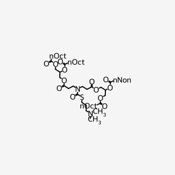 CCCCCCCCCC(=O)OC(COC(=O)CCCCCCCC)COC(=O)CCN(CCC(=O)OCC(COC(=O)CCCCCCCC)OC(=O)CCCCCCCC)C(=O)SCCCN(C)C